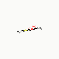 CCCSCC(O)COCC(O)CC